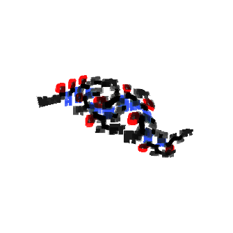 CNC(=O)NC(=O)NC(=O)[C@H](CC(C)C)N(C)C(=O)[C@@H](NC(=O)[C@H](CC(C)C)N(C)C(=O)[C@@H](C)N(C)C(=O)[C@@H](NC(=O)N(C)C(=O)[C@H](C(C)C)N(C)C(=O)[C@H](CC(C)C)N(C)C(=O)CCC(C)C)C(C)C)C(C)C